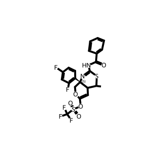 CC1SC(NC(=O)c2ccccc2)=N[C@@]2(c3ccc(F)cc3F)COC(OS(=O)(=O)C(F)(F)F)=CC12